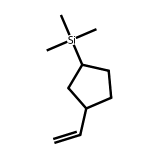 C=CC1CCC([Si](C)(C)C)C1